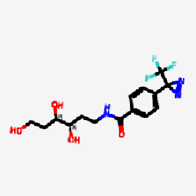 O=C(NCC[C@@H](O)[C@H](O)CCO)c1ccc(C2(C(F)(F)F)N=N2)cc1